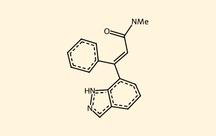 CNC(=O)/C=C(\c1ccccc1)c1cccc2cn[nH]c12